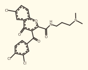 CN(C)CCCNC(=O)c1oc2ccc(Cl)cc2c(=O)c1C(=O)c1ccc(Cl)c(Cl)c1